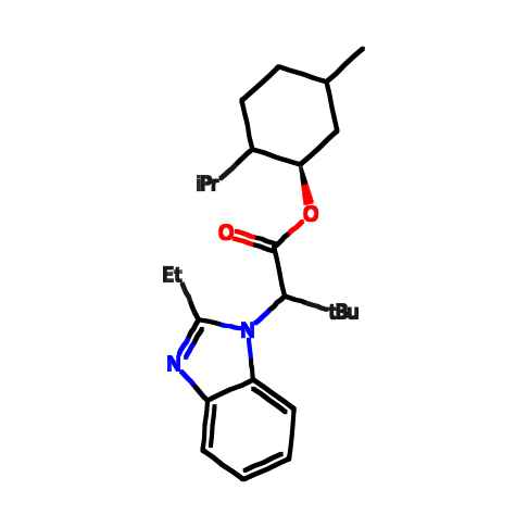 CCc1nc2ccccc2n1C(C(=O)O[C@@H]1CC(C)CCC1C(C)C)C(C)(C)C